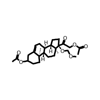 COCO[C@]1(C(=O)COC(C)=O)CC[C@H]2[C@@H]3CC=C4CC(OC(C)=O)CC[C@]4(C)[C@H]3CC[C@@]21C